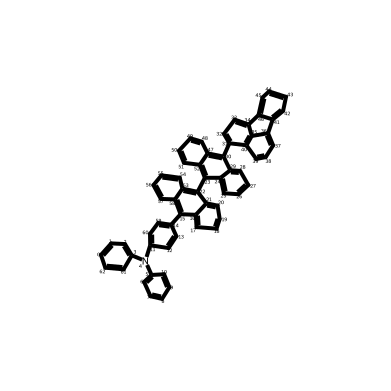 c1ccc(N(c2ccccc2)c2ccc(-c3c4ccccc4c(-c4c5ccccc5c(-c5ccc6c7c(cccc57)-c5ccccc5-6)c5ccccc45)c4ccccc34)cc2)cc1